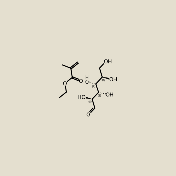 C=C(C)C(=O)OCC.O=C[C@@H](O)[C@@H](O)[C@H](O)[C@H](O)CO